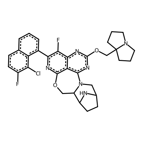 Fc1ccc2cccc(-c3nc4c5c(nc(OCC67CCCN6CCC7)nc5c3F)N3CC5CCC(N5)C3CO4)c2c1Cl